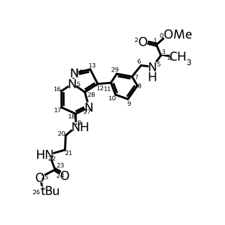 COC(=O)[C@@H](C)NCc1cccc(-c2cnn3ccc(NCCNC(=O)OC(C)(C)C)nc23)c1